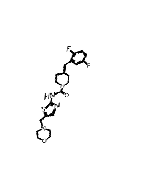 O=C(Nc1ncc(CN2CCOCC2)s1)N1CCC(=Cc2cc(F)ccc2F)CC1